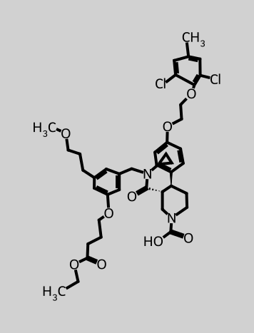 CCOC(=O)CCCOc1cc(CCCOC)cc(CN(C(=O)[C@H]2CN(C(=O)O)CC[C@@H]2c2ccc(OCCOc3c(Cl)cc(C)cc3Cl)cc2)C2CC2)c1